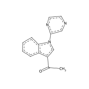 CC(=O)c1cn(-c2cnccn2)c2ccccc12